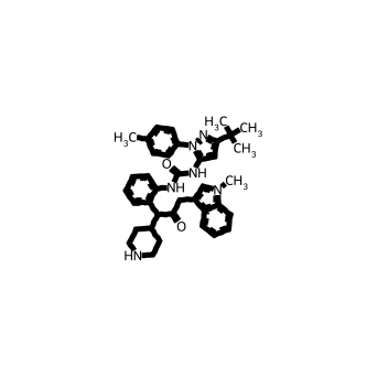 Cc1ccc(-n2nc(C(C)(C)C)cc2NC(=O)Nc2ccccc2C(C(=O)Cc2cn(C)c3ccccc23)C2CCNCC2)cc1